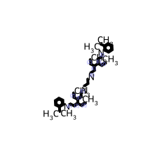 C\C=C/C(=C/C=N/c1ccccc1C(C)C)C(/C=C\C)=C/C=N/CCC/N=C/C=C(\C=C/C)C(/C=C\C)=C/C=N/c1ccccc1C(C)C